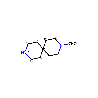 O=CN1CCC2(CCNCC2)CC1